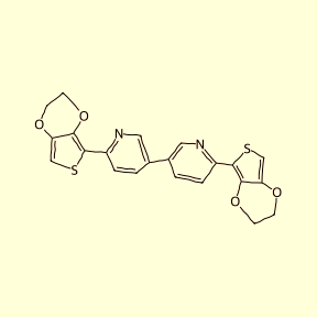 c1cc(-c2scc3c2OCCO3)ncc1-c1ccc(-c2scc3c2OCCO3)nc1